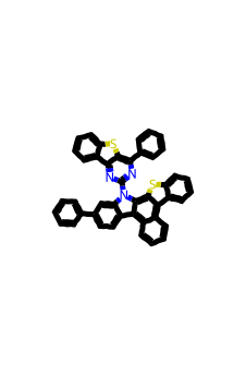 c1ccc(-c2ccc3c4c5ccccc5c5c6ccccc6sc5c4n(-c4nc(-c5ccccc5)c5sc6ccccc6c5n4)c3c2)cc1